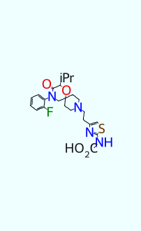 CC(C)C1OC2(CCN(CCc3csc(NC(=O)O)n3)CC2)CN(c2ccccc2F)C1=O